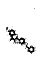 COc1ccc2oc(-c3ccc(OCc4ccccc4)cc3)c(O)c(=O)c2c1